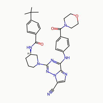 CC(C)(C)c1ccc(C(=O)N[C@@H]2CCCN(c3nc(Nc4ccc(C(=O)N5CCOCC5)cc4)c4ncc(C#N)n4n3)C2)cc1